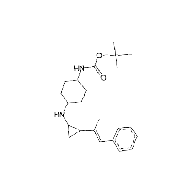 C/C(=C\c1ccccc1)C1CC1NC1CCC(NC(=O)OC(C)(C)C)CC1